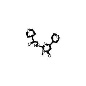 Cn1c(NCC(=O)c2ccncc2)nc(-c2ccncc2)cc1=O